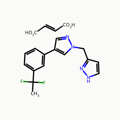 CC(F)(F)c1cccc(-c2cnn(Cc3cc[nH]n3)c2)c1.O=C(O)C=CC(=O)O